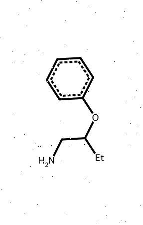 CCC(CN)Oc1ccccc1